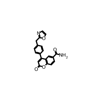 NC(=O)c1ccc2oc(=O)cc(-c3ccc(Cc4ncco4)cc3)c2c1